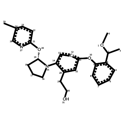 COC(C)c1ccccc1Oc1ccc(N2CCC[C@@H]2Oc2ccc(C)cn2)c(CCO)c1